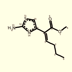 CCCC=C(C(=O)OC)c1csc(N)n1